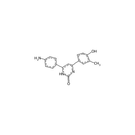 Cc1cc(-c2cc(-c3ccc(N)cc3)[nH]c(=O)n2)ccc1O